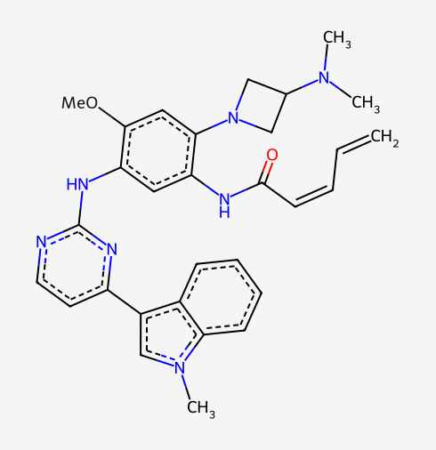 C=C/C=C\C(=O)Nc1cc(Nc2nccc(-c3cn(C)c4ccccc34)n2)c(OC)cc1N1CC(N(C)C)C1